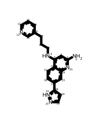 Nc1cc(NCCCc2cccnc2)c2ccc(-c3ccn[nH]3)cc2n1